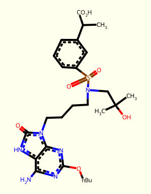 CCCCOc1nc(N)c2[nH]c(=O)n(CCCCN(CC(C)(C)O)S(=O)(=O)c3cccc(C(C)C(=O)O)c3)c2n1